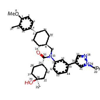 COc1ccc([C@H]2CC[C@H](CN(c3cccc(-c4cnn(C(C)C)c4)c3)C(=O)[C@H]3CC[C@](C)(O)CC3)CC2)cc1C